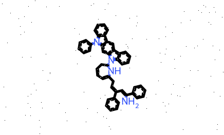 N/C(=C\C(=C/CC1=CC=CCC(n2c3ccccc3c3cc4c5ccccc5n(-c5ccccc5)c4cc32)N1)c1ccccc1)c1ccccc1